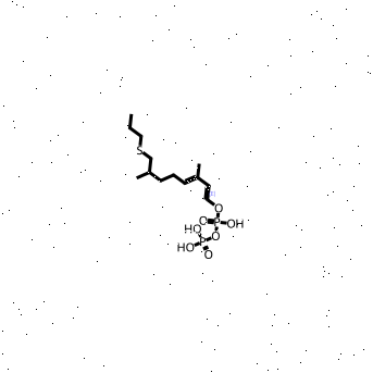 CCCSCC(C)CCC=C(C)/C=C/OP(=O)(O)OP(=O)(O)O